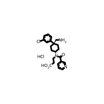 Cl.NC[C@]1(c2cccc(Cl)c2)CC[C@@H](N(CCC(=O)O)C(=O)c2cccnc2)CC1